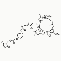 COc1cc2cc(c1Cl)N(C)C(=O)C[C@H](OC(=O)[C@H](C)N(C)C(=O)CCOC(=O)N(C)CCN(C)C(=O)OC1/C=C/CC(OCC(=O)NCCN3C(=O)C=CC3=O)CCC1)[C@]1(C)O[C@H]1[C@H](C)[C@@H]1C[C@@](O)(NC(=O)O1)[C@H](OC)/C=C/C=C(\C)C2